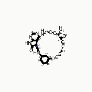 CN1CCCNc2ncnc3c2/C(=C/Nc2cccc(c2)OCCCCCC1=O)C(=O)N3